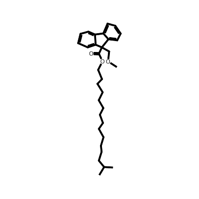 COCC1(C(=O)OCCCCCCCCCCCCCC(C)C)c2ccccc2-c2ccccc21